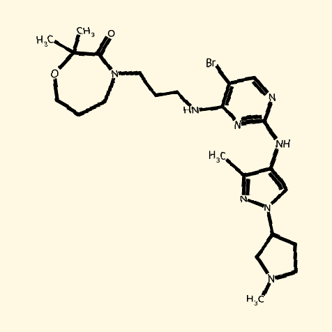 Cc1nn(C2CCN(C)C2)cc1Nc1ncc(Br)c(NCCCN2CCCOC(C)(C)C2=O)n1